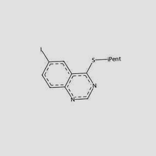 CCCC(C)Sc1ncnc2ccc(I)cc12